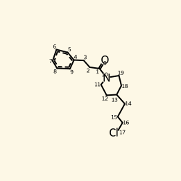 O=C(CCc1ccccc1)N1CCC(CCCCl)CC1